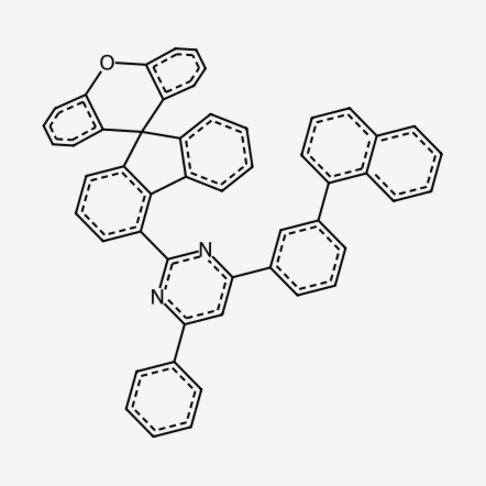 c1ccc(-c2cc(-c3cccc(-c4cccc5ccccc45)c3)nc(-c3cccc4c3-c3ccccc3C43c4ccccc4Oc4ccccc43)n2)cc1